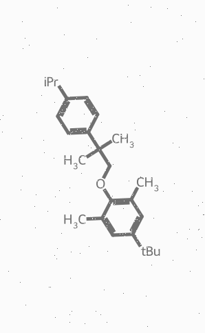 Cc1cc(C(C)(C)C)cc(C)c1OCC(C)(C)c1ccc(C(C)C)cc1